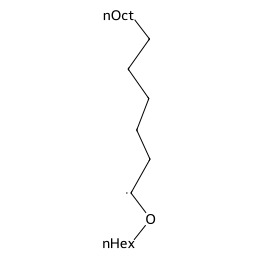 CCCCCCCCCCCCC[CH]OCCCCCC